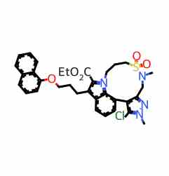 CCOC(=O)c1c(CCCOc2cccc3ccccc23)c2ccc(Cl)c3c2n1CCCS(=O)(=O)N(C)Cc1nn(C)c(C)c1-3